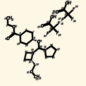 CCOC(=O)[C@H]1CC[C@H](OC(N2CCCC2)N2CC[C@H]2COC)CC1.O=C(O)C(F)(F)F.O=C(O)C(F)(F)F